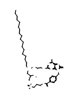 CCCCCCCCCCCCCCCCCCOCC(COP(=O)(O)CCCNC(=O)c1ccc(Cn2c(=O)[nH]c3c(C)nc(OCCOC)nc32)cc1)OC